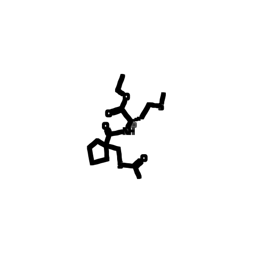 CCOC(=O)[C@H](CCSC)NC(=O)C1(CSC(C)=O)CCCC1